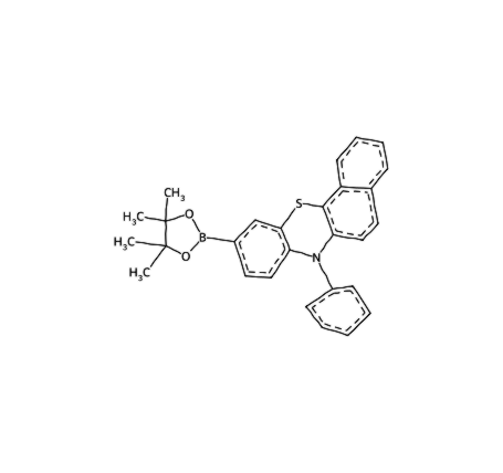 CC1(C)OB(c2ccc3c(c2)Sc2c(ccc4ccccc24)N3c2ccccc2)OC1(C)C